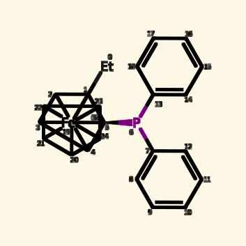 CC[C]12[CH]3[CH]4[CH]5[C@]1(P(c1ccccc1)c1ccccc1)[Fe]43521678[CH]2[CH]1[CH]6[CH]7[CH]28